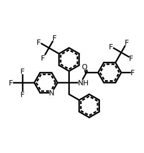 O=C(NC(Cc1ccccc1)(c1cccc(C(F)(F)F)c1)c1ccc(C(F)(F)F)cn1)c1ccc(F)c(C(F)(F)F)c1